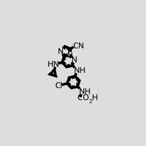 N#Cc1cnc2c(NC3CC3)cc(Nc3cc(Cl)cc(NC(=O)O)c3)nn12